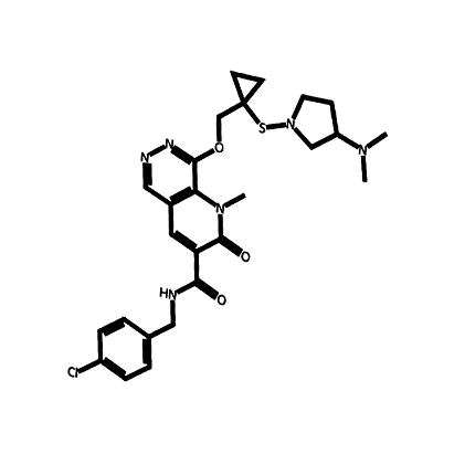 CN(C)C1CCN(SC2(COc3nncc4cc(C(=O)NCc5ccc(Cl)cc5)c(=O)n(C)c34)CC2)C1